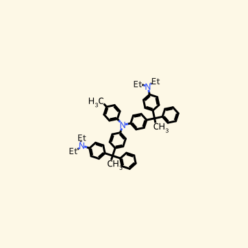 CCN(CC)c1ccc(C(C)(c2ccccc2)c2ccc(N(c3ccc(C)cc3)c3ccc(C(C)(c4ccccc4)c4ccc(N(CC)CC)cc4)cc3)cc2)cc1